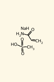 C=CC(N)=O.CS(=O)(=O)O.[NaH]